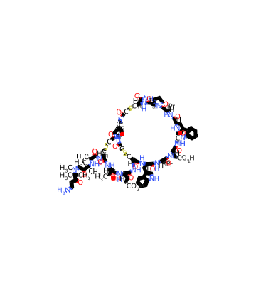 CC(C)[C@@H]1NC(=O)[C@H](Cc2c[nH]c3ccccc23)NC(=O)[C@@H]2CSCC(=O)N3CC45CN(C[C@@]4(CN(C5)C(=O)CSC[C@H](NC(=O)[C@H](C)NC(C)(C)C(=O)CN(C)C(C)(C)C(=O)CCN)C(=O)N[C@@H]([C@@H](C)O)C(=O)N[C@@H](CCC(=O)O)C(=O)N2)C3)C(=O)CSC[C@@H](C(N)=O)NC(=O)[C@@H]2CCCN2C(=O)[C@H](C(C)C)NC(=O)[C@H](Cc2c[nH]c3ccccc23)NC(=O)CNC(=O)[C@H](CC(=O)O)NC1=O